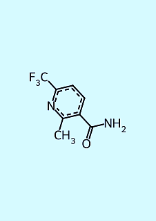 Cc1nc(C(F)(F)F)ccc1C(N)=O